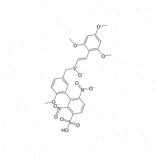 COc1cc(OC)c(C=C[S+]([O-])Cc2ccc(OC)c(-c3c([N+](=O)[O-])ccc(S(=O)(=O)O)c3[N+](=O)[O-])c2)c(OC)c1